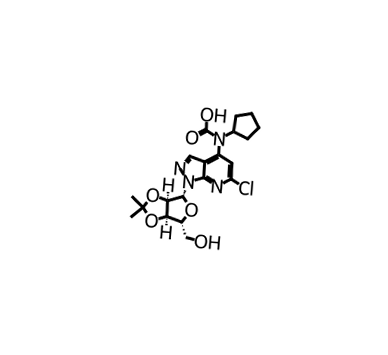 CC1(C)O[C@@H]2[C@H](O1)[C@@H](CO)O[C@H]2n1ncc2c(N(C(=O)O)C3CCCC3)cc(Cl)nc21